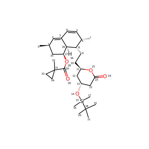 C[C@H]1C=C2C=C[C@H](C)[C@H](CC[C@@H]3C[C@@H](O[Si](C)(C)C(C)(C)C)CC(=O)O3)[C@H]2[C@@H](OC(=O)C2(C)CC2)C1